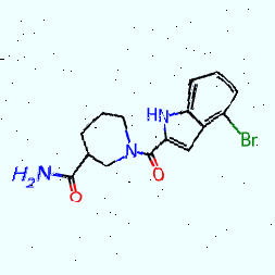 NC(=O)C1CCCN(C(=O)c2cc3c(Br)cccc3[nH]2)C1